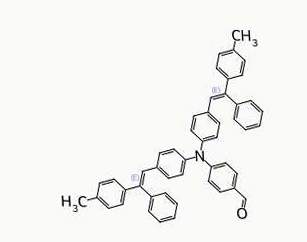 Cc1ccc(/C(=C/c2ccc(N(c3ccc(C=O)cc3)c3ccc(/C=C(\c4ccccc4)c4ccc(C)cc4)cc3)cc2)c2ccccc2)cc1